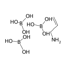 C=CCN.OB(O)O.OB(O)O.OB(O)O